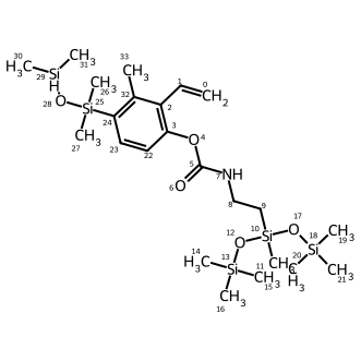 C=Cc1c(OC(=O)NCC[Si](C)(O[Si](C)(C)C)O[Si](C)(C)C)ccc([Si](C)(C)O[SiH](C)C)c1C